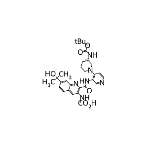 CC(C)(C)OC(=O)N[C@H]1CCCN(c2ccncc2NC(=O)c2nc3cc(C(C)(C)O)ccc3cc2NC(=O)O)C1